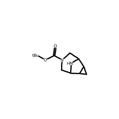 CC(C)(C)OC(=O)N1CC2NC(C1)C1CC21